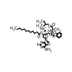 C#C[C@]1(CO[P@@](=O)(N[C@@H](C)C(=O)OCC(CC)CC)Oc2ccccc2)O[C@@H](n2cnc3c(N)nc(F)nc32)C[C@@H]1OC(=O)CCCCCCCCCCC